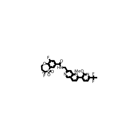 COc1nc(C(C)(F)F)ccc1-c1ccc2cnc(CNC(=O)c3cc(F)c4c(c3)S(=O)(=O)[C@@H](F)CCO4)cc2n1